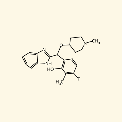 Cc1c(F)ccc(C(OC2CCN(C)CC2)c2nc3ccccc3[nH]2)c1O